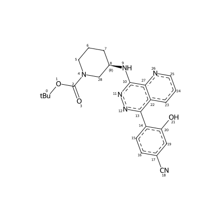 CC(C)(C)OC(=O)N1CCC[C@@H](Nc2nnc(-c3ccc(C#N)cc3O)c3cccnc23)C1